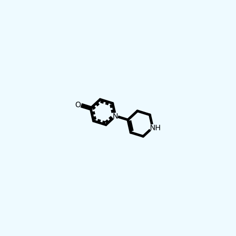 O=c1ccn(C2=CCNCC2)cc1